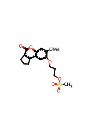 COc1cc2oc(=O)c3c(c2cc1OCCCOS(C)(=O)=O)CCC3